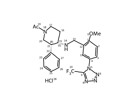 COc1ccc(-n2nnnc2C(F)(F)F)cc1CN[C@H]1CCN(C(C)=O)C[C@H]1c1ccccc1.Cl